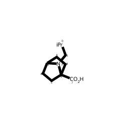 CC(C)CN1C2CCC1(C(=O)O)CC2